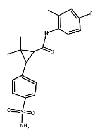 Cc1cc(F)ccc1NC(=O)C1C(c2ccc(S(N)(=O)=O)cc2)C1(C)C